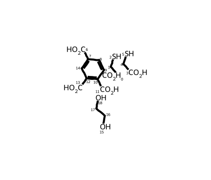 O=C(O)CS.O=C(O)CS.O=C(O)c1ccc(C(=O)O)c(C(=O)O)c1.OCCO